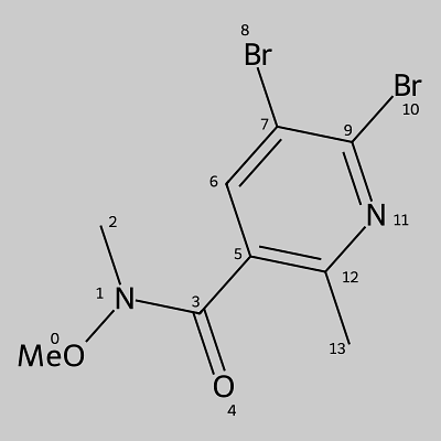 CON(C)C(=O)c1cc(Br)c(Br)nc1C